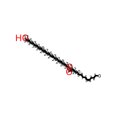 CCCC/C=C\CCCCCCCC(=O)OCCCCCCCCCCCCCCCCCCCCCO